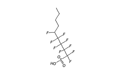 CCCCC(F)C(F)(F)C(F)(F)C(F)(F)C(F)(F)S(=O)(=O)O